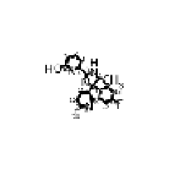 CC1NC(c2cccc(O)n2)=NC1(c1ccc(F)cc1)c1ccc(F)nc1